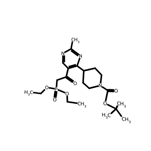 CCOP(=O)(CC(=O)c1cnc(C)nc1C1CCN(C(=O)OC(C)(C)C)CC1)OCC